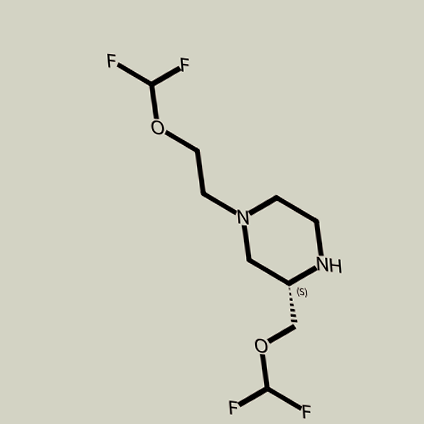 FC(F)OCCN1CCN[C@H](COC(F)F)C1